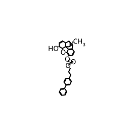 CN1CCC23c4c5ccc(OS(=O)OCCCc6ccc(-c7ccccc7)cc6)c4OC2C(O)C=CC3C1C5